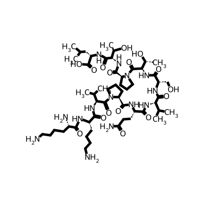 CC(C)C[C@H](NC(=O)[C@@H](NC(=O)[C@@H]1CCCN1C(=O)[C@@H](NC(=O)[C@H](CO)NC(=O)[C@@H](NC(=O)[C@H](CCC(N)=O)NC(=O)[C@@H]1CCCN1C(=O)[C@@H](NC(=O)[C@H](CCCCN)NC(=O)[C@@H](N)CCCCN)C(C)C)C(C)C)[C@@H](C)O)[C@@H](C)O)C(=O)O